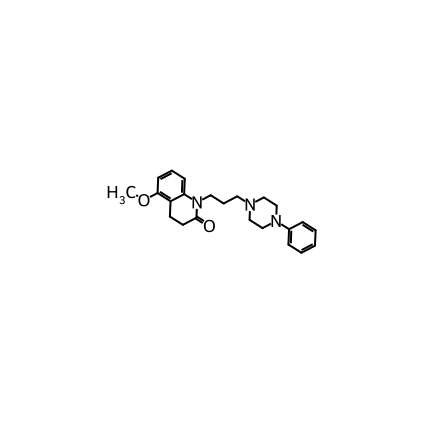 COc1cccc2c1CCC(=O)N2CCCN1CCN(c2ccccc2)CC1